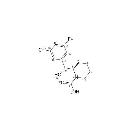 O=C(O)N1CCCC[C@@H]1[C@H](O)c1cc(F)cc(Cl)c1